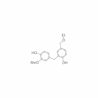 CCOCc1ccc(O)c(Cc2ccc(O)c(OC)c2)c1